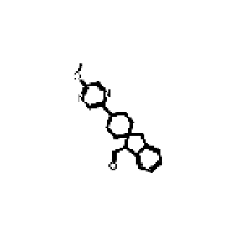 COc1cnc(C2CCC3(CC2)Cc2ccccc2C3C=O)cn1